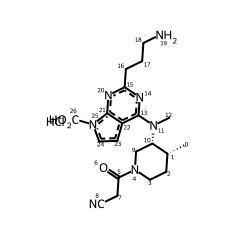 C[C@@H]1CCN(C(=O)CC#N)C[C@@H]1N(C)c1nc(CCCN)nc2c1ccn2C(=O)O.Cl